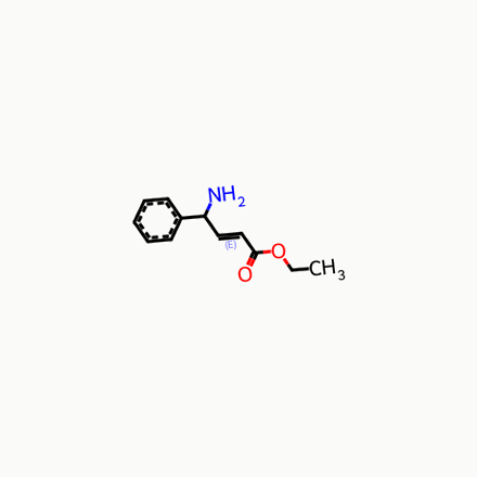 CCOC(=O)/C=C/C(N)c1ccccc1